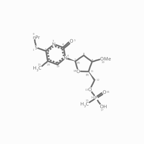 CCCSc1nc(=O)n([C@H]2CC(OC)[C@@H](COP(C)(=O)O)O2)cc1C